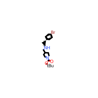 CC(C)(C)OC(=O)N1CCC(CN[C@H]2C[C@@H]2c2ccc(Br)cc2)CC1